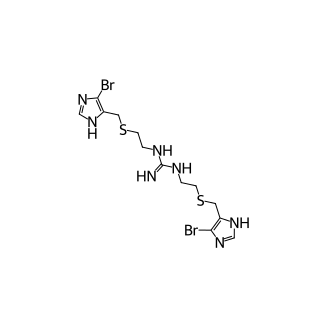 N=C(NCCSCc1[nH]cnc1Br)NCCSCc1[nH]cnc1Br